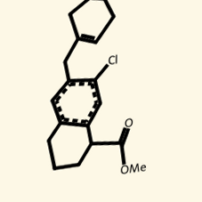 COC(=O)C1CCCc2cc(CC3=CCCCC3)c(Cl)cc21